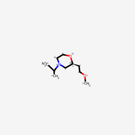 COCC[C@H]1CN(C(C)C)CCO1